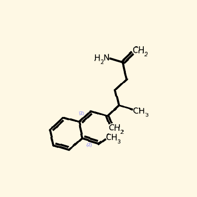 C=C(N)CCC(C)C(=C)/C=c1/cccc/c1=C/C